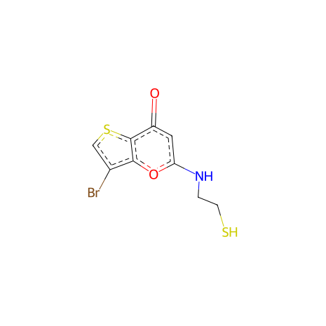 O=c1cc(NCCS)oc2c(Br)csc12